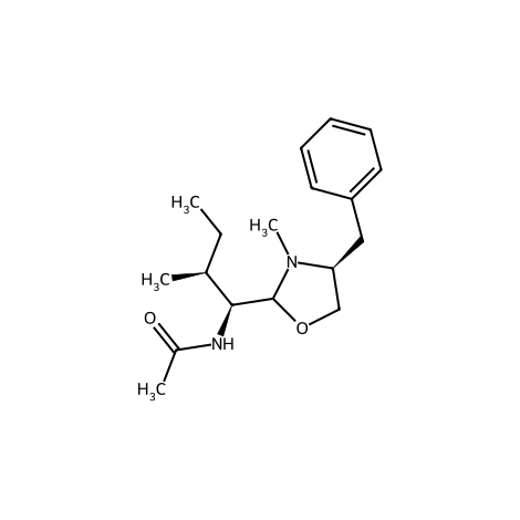 CC[C@H](C)[C@H](NC(C)=O)C1OC[C@H](Cc2ccccc2)N1C